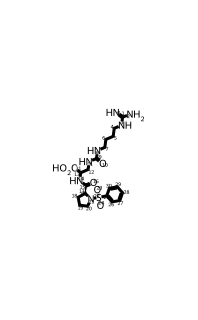 N=C(N)NCCCCNC(=O)NCC(NC(=O)[C@@H]1CCCN1S(=O)(=O)c1ccccc1)C(=O)O